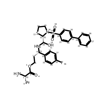 CC(C)[C@H](N)C(=O)OCC[C@H](NC(O)[C@@H]1SCCN1S(=O)(=O)c1ccc(-c2ccccc2)cc1)c1ccc(F)cc1